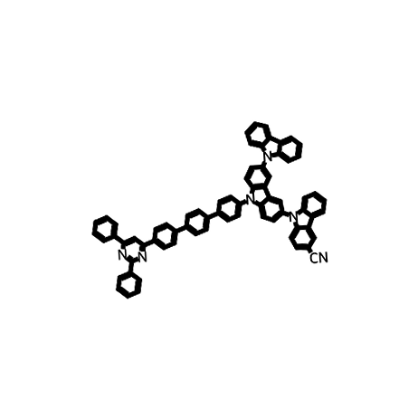 N#Cc1ccc2c(c1)c1ccccc1n2-c1ccc2c(c1)c1cc(-n3c4ccccc4c4ccccc43)ccc1n2-c1ccc(-c2ccc(-c3ccc(-c4cc(-c5ccccc5)nc(-c5ccccc5)n4)cc3)cc2)cc1